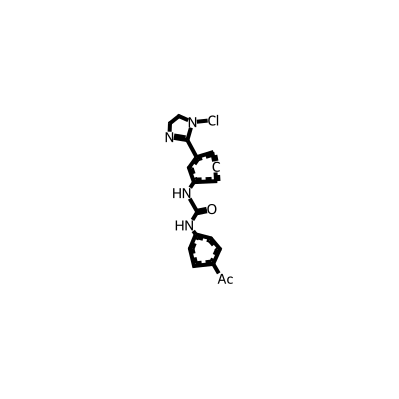 CC(=O)c1ccc(NC(=O)Nc2cccc(C3=NCCN3Cl)c2)cc1